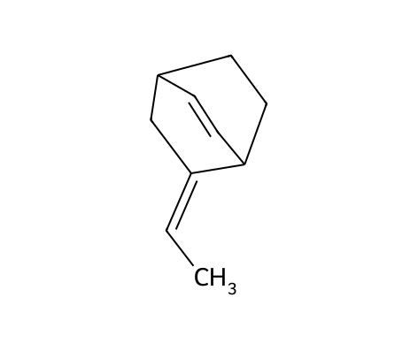 CC=C1CC2C=CC1CC2